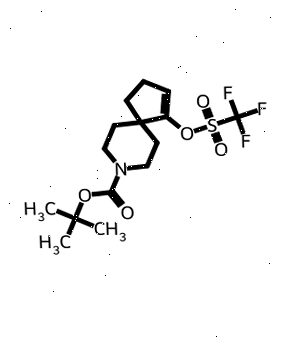 CC(C)(C)OC(=O)N1CCC2(CCC=C2OS(=O)(=O)C(F)(F)F)CC1